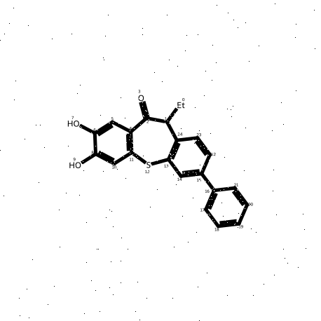 CCC1C(=O)c2cc(O)c(O)cc2Sc2cc(-c3ccccc3)ccc21